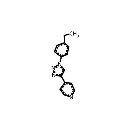 CCc1ccc(-n2cc(-c3ccncc3)nn2)cc1